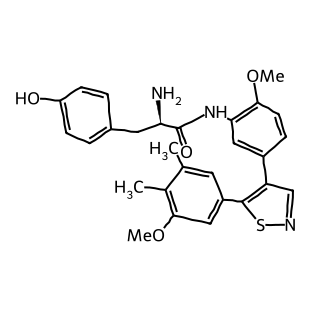 COc1ccc(-c2cnsc2-c2cc(C)c(C)c(OC)c2)cc1NC(=O)[C@H](N)Cc1ccc(O)cc1